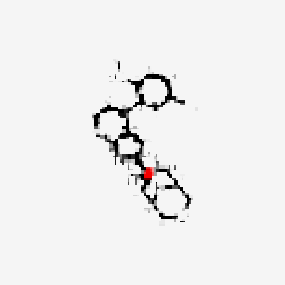 COc1ccc(F)cc1-c1ccnc2[nH]c(C3=CC4COCC(C3)N4S(C)(=O)=O)cc12